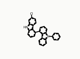 Clc1ccc2c(c1)[nH]c1cccc(-c3cccc4c3c3ccccc3n4-c3ccccc3)c12